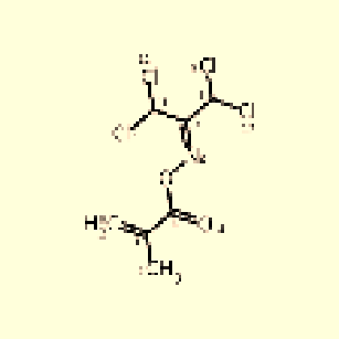 C=C(C)C(=O)ON=C(C(Cl)Cl)C(Cl)Cl